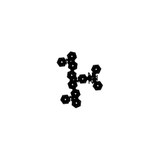 c1ccc(-c2nc(-c3ccccc3)nc(-c3ccc(-n4c5cc(-c6ccc7c8ccccc8n(-c8ccccc8)c7c6)ccc5c5ccc(-c6ccc7c8ccccc8n(-c8ccccc8)c7c6)cc54)cc3)n2)cc1